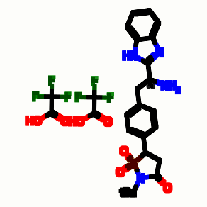 CC(C)(C)N1C(=O)CC(c2ccc(C[C@H](N)c3nc4ccccc4[nH]3)cc2)S1(=O)=O.O=C(O)C(F)(F)F.O=C(O)C(F)(F)F